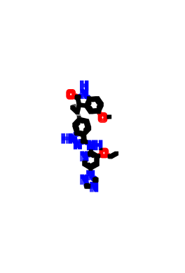 CCOc1cc(-n2cncn2)cnc1Nc1n[nH]c2cc([C@@H]3C[C@@]34C(=O)Nc3ccc(OC)cc34)ccc12